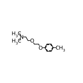 Cc1ccc(OCCOCCN(C)C)cc1